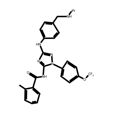 Cc1ccccc1C(=O)Nc1nc(Nc2ccc(CNC(C)C)cc2)nn1-c1ccc(OC(F)(F)F)cc1